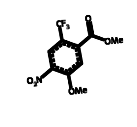 COC(=O)c1cc(OC)c([N+](=O)[O-])cc1C(F)(F)F